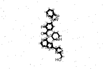 O=C(c1ccc(-n2nnc3cccnc32)cc1F)N(c1nccc2sc(-c3csc(CO)n3)cc12)[C@@H]1CCCNC1